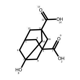 O=C(O)C12CC3CC(O)(C1)CC(C(=O)O)(C3)C2